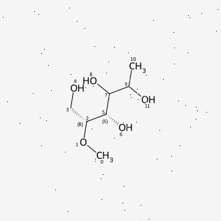 CO[C@H](CO)[C@@H](O)C(O)C(C)O